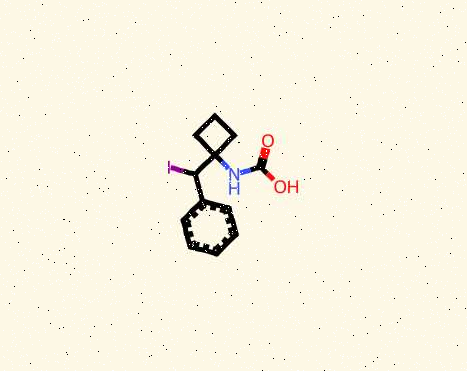 O=C(O)NC1(C(I)c2ccccc2)CCC1